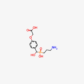 NCCCP(=O)(O)C(O)c1ccc(OCC(=O)O)cc1